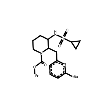 CC(C)OC(=O)N1CCCC(NS(=O)(=O)C2CC2)C1Cc1cccc(C(C)(C)C)n1